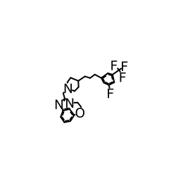 Fc1cc(CCCC2CCN(Cc3nc4cccc5c4n3CCO5)CC2)cc(C(F)(F)F)c1